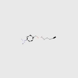 C#CCCCCOCc1ccc(N(C)C)cc1